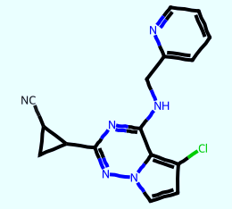 N#CC1CC1c1nc(NCc2ccccn2)c2c(Cl)ccn2n1